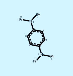 CC(C)N(c1[c]cc(N(C(C)C)C(C)C)cc1)C(C)C